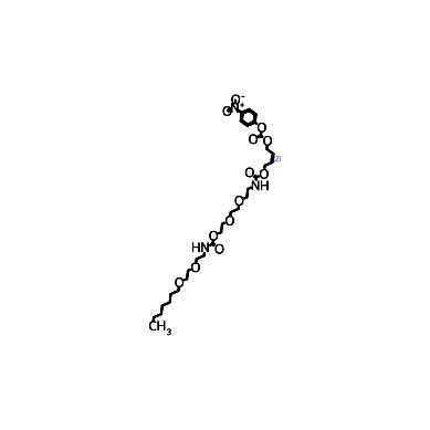 CCCCCCCOCCOCCNC(=O)OCCOCCOCCNC(=O)OC/C=C\COC(=O)Oc1ccc([N+](=O)[O-])cc1